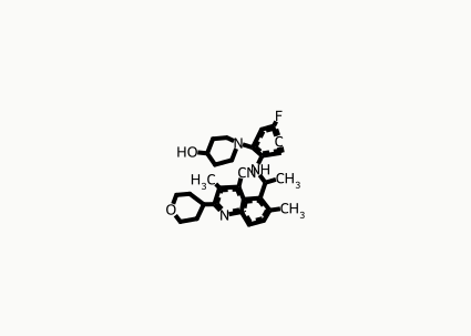 Cc1ccc2nc(C3CCOCC3)c(C)c(C#N)c2c1C(C)Nc1ccc(F)cc1N1CCC(O)CC1